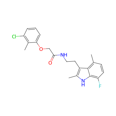 Cc1[nH]c2c(F)ccc(C)c2c1CCNC(=O)COc1cccc(Cl)c1C